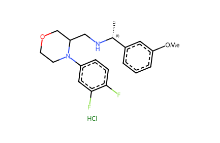 COc1cccc([C@@H](C)NCC2COCCN2c2ccc(F)c(F)c2)c1.Cl